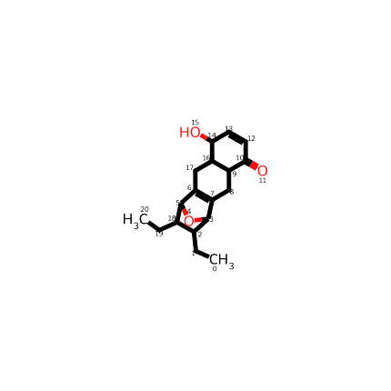 CCC1C2OC(C3=C2CC2C(=O)C=CC(O)C2C3)C1CC